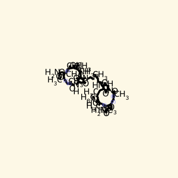 COC1/C=C\C=C(/C)C(=O)NC2=CC(=O)C(NCCCN(C)CCCNC3=C4CC(C)CC(OC)C(O)C(C)/C=C(\C)C(OC(N)=O)C(OC)/C=C\C=C(/C)C(=O)NC(=CC3=O)C4=O)=C(CC(C)CC(OC)C(O)C(C)/C=C(\C)C1OC(N)=O)C2=O